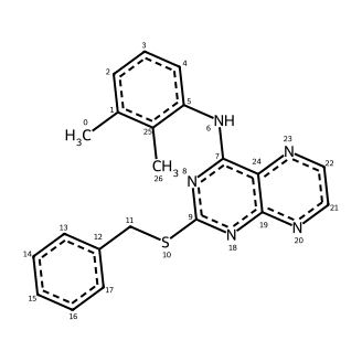 Cc1cccc(Nc2nc(SCc3ccccc3)nc3nccnc23)c1C